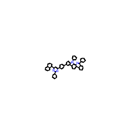 c1ccc(-c2nc(-c3ccc(-c4ccc5c(c4)c4ccc6c7ccccc7c(-c7ccccc7)nc6c4n5-c4ccccc4)cc3)cc(-c3cccc4ccccc34)n2)cc1